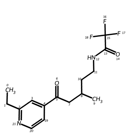 CCc1cc(C(=O)CC(C)CCNC(=O)C(F)(F)F)ccn1